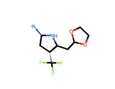 [N][C@@H]1C[C@@H](C(F)(F)F)C(CC2OCCO2)N1